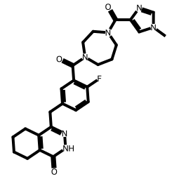 Cn1cnc(C(=O)N2CCCN(C(=O)c3cc(Cc4n[nH]c(=O)c5c4CCCC5)ccc3F)CC2)c1